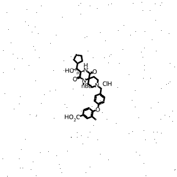 CCCCN1C(=O)[C@@H]([C@H](O)C2CCCC2)NC(=O)C12CCN(Cc1ccc(Oc3ccc(C(=O)O)cc3C)cc1)CC2.Cl